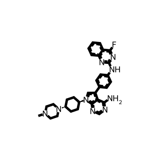 CN1CCN([C@H]2CC[C@H](n3cc(-c4ccc(Nc5nc(F)c6ccccc6n5)cc4)c4c(N)ncnc43)CC2)CC1